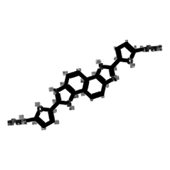 CCCCCc1ccc(-c2nc3ccc4c(ccc5nc(-c6ccc(CCCCC)o6)sc54)c3s2)o1